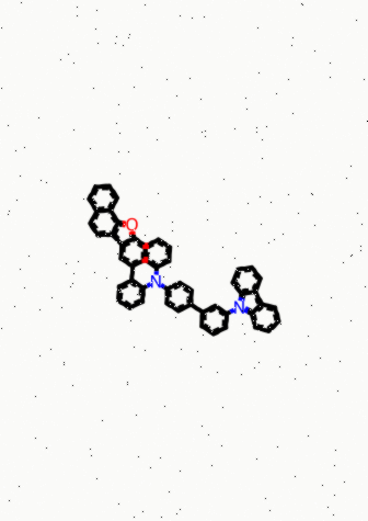 c1ccc(N(c2ccc(-c3cccc(-n4c5ccccc5c5ccccc54)c3)cc2)c2ccccc2-c2ccc3oc4c5ccccc5ccc4c3c2)cc1